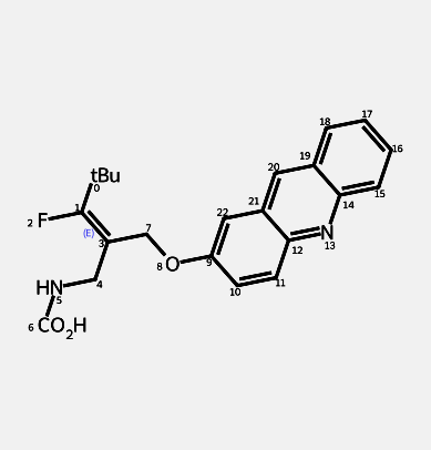 CC(C)(C)/C(F)=C(/CNC(=O)O)COc1ccc2nc3ccccc3cc2c1